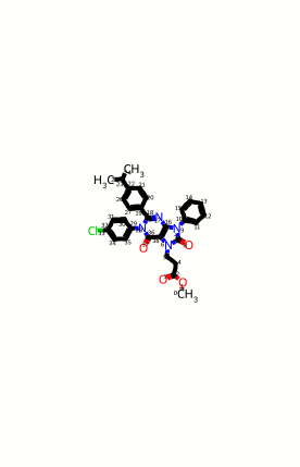 COC(=O)CCn1c(=O)n(-c2ccccc2)c2nc(-c3ccc(C(C)C)cc3)n(-c3ccc(Cl)cc3)c(=O)c21